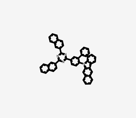 c1ccc(-c2cc(-c3nc(-c4ccc5ccccc5c4)nc(-c4ccc5ccccc5c4)n3)ccc2-n2c3ccccc3c3cc4ccccc4cc32)cc1